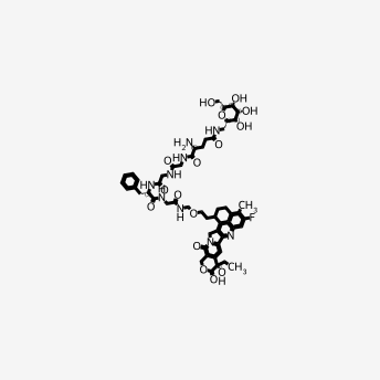 CC[C@@]1(O)C(=O)OCc2c1cc1n(c2=O)Cc2c-1nc1cc(F)c(C)c3c1c2C(CCOCNC(=O)CNC(=O)[C@H](Cc1ccccc1)NC(=O)CNC(=O)CNC(=O)[C@@H](N)CCC(=O)NC[C@@H]1O[C@H](CO)[C@@H](O)[C@H](O)[C@H]1O)CC3